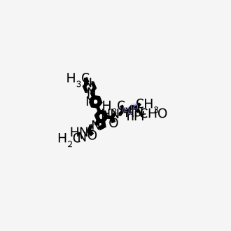 C=NNC(=O)Cn1ccc2c(C(=O)NC/C(C)=C(/C=C(/C)NC=O)CCC)cc(-c3ccc(N4CCN(C)CC4)nc3)cc21